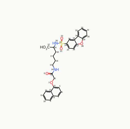 O=C(COc1cccc2ccccc12)NCCCCC(NS(=O)(=O)c1ccc2oc3ccccc3c2c1)C(=O)O